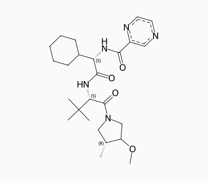 COC1CN(C(=O)[C@@H](NC(=O)[C@@H](NC(=O)c2cnccn2)C2CCCCC2)C(C)(C)C)C[C@H]1C